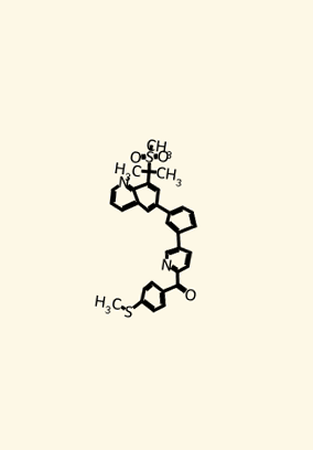 CSc1ccc(C(=O)c2ccc(-c3cccc(-c4cc(C(C)(C)S(C)(=O)=O)c5ncccc5c4)c3)cn2)cc1